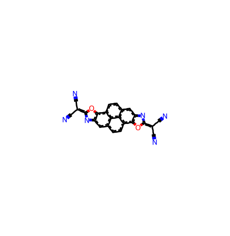 N#CC(C#N)=c1nc2cc3ccc4c5oc(=C(C#N)C#N)nc5cc5ccc(c2o1)c3c54